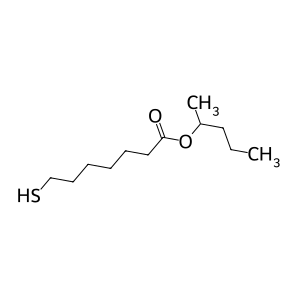 CCCC(C)OC(=O)CCCCCCS